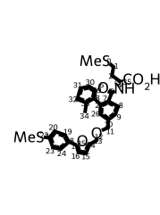 CSCC[C@H](NC(=O)c1ccc(COCc2ccc(-c3ccc(SC)cc3)o2)cc1-c1ccccc1C)C(=O)O